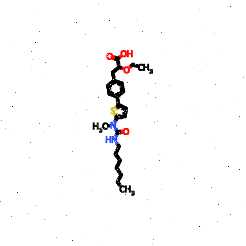 CCCCCCCNC(=O)N(C)c1ccc(-c2ccc(CC(OCC)C(=O)O)cc2)s1